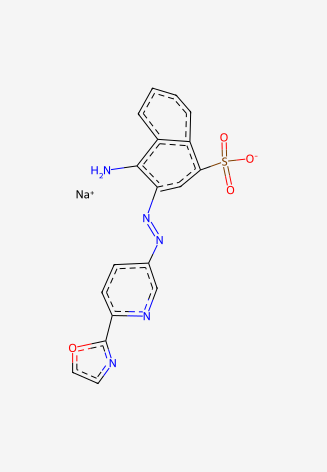 Nc1c(N=Nc2ccc(-c3ncco3)nc2)cc(S(=O)(=O)[O-])c2ccccc12.[Na+]